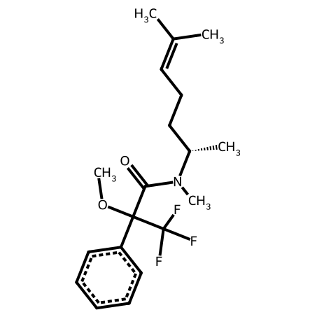 COC(C(=O)N(C)[C@@H](C)CCC=C(C)C)(c1ccccc1)C(F)(F)F